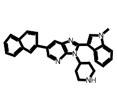 Cn1cc(-c2nc3cc(-c4ccc5ccccc5c4)cnc3n2C2CCNCC2)c2ccccc21